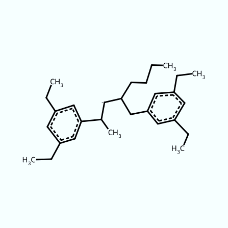 CCCCC([CH]C(C)c1cc(CC)cc(CC)c1)Cc1cc(CC)cc(CC)c1